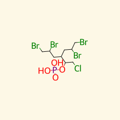 O=P(O)(O)OC(CCl)C(CC(Br)CBr)CC(Br)CBr